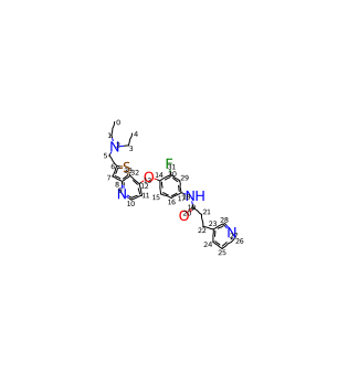 CCN(CC)Cc1cc2nccc(Oc3ccc(NC(=O)CCc4cccnc4)cc3F)c2s1